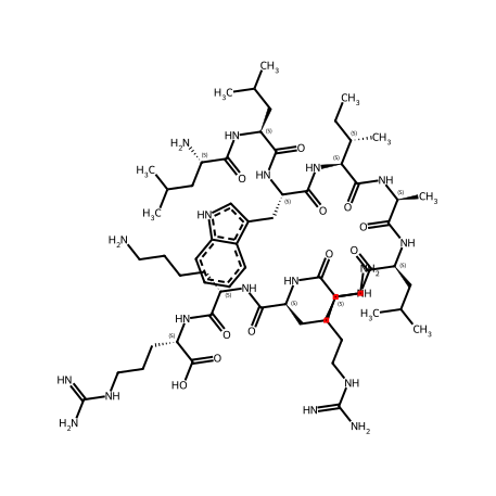 CC[C@H](C)[C@H](NC(=O)[C@H](Cc1c[nH]c2ccccc12)NC(=O)[C@H](CC(C)C)NC(=O)[C@@H](N)CC(C)C)C(=O)N[C@@H](C)C(=O)N[C@@H](CC(C)C)C(=O)N[C@@H](CCCNC(=N)N)C(=O)N[C@@H](CCCCN)C(=O)N[C@@H](CCCCN)C(=O)N[C@@H](CCCNC(=N)N)C(=O)O